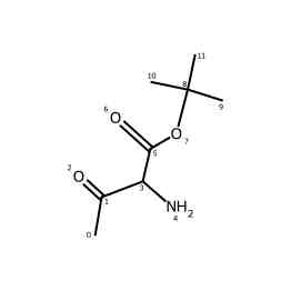 CC(=O)C(N)C(=O)OC(C)(C)C